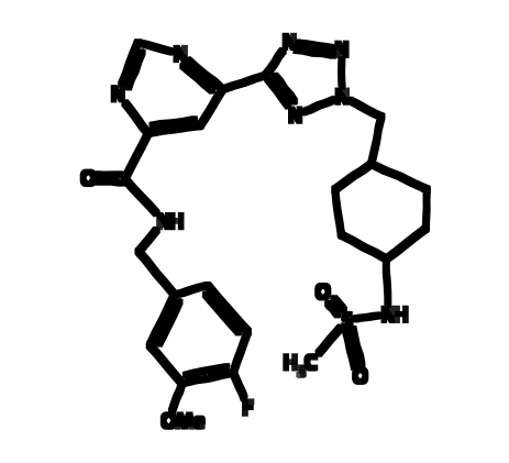 COc1cc(CNC(=O)c2cc(-c3nnn(CC4CCC(NS(C)(=O)=O)CC4)n3)ncn2)ccc1F